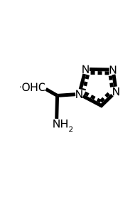 NC([C]=O)n1cnnn1